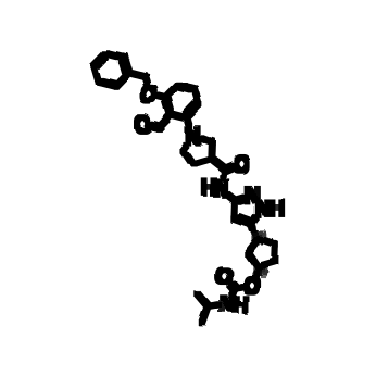 CC(C)NC(=O)O[C@@H]1CC[C@H](c2cc(NC(=O)C3CCN(c4cccc(OCc5ccccc5)c4C=O)C3)n[nH]2)C1